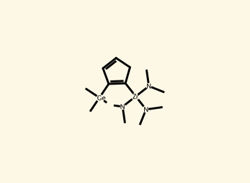 C[N](C)[Zr]([C]1=[C]([Ge]([CH3])([CH3])[CH3])C=CC1)([N](C)C)[N](C)C